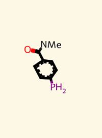 CNC(=O)c1ccc(P)cc1